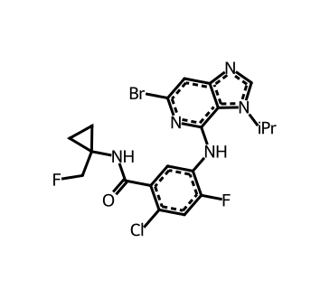 CC(C)n1cnc2cc(Br)nc(Nc3cc(C(=O)NC4(CF)CC4)c(Cl)cc3F)c21